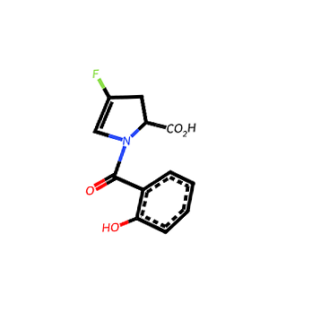 O=C(O)C1CC(F)=CN1C(=O)c1ccccc1O